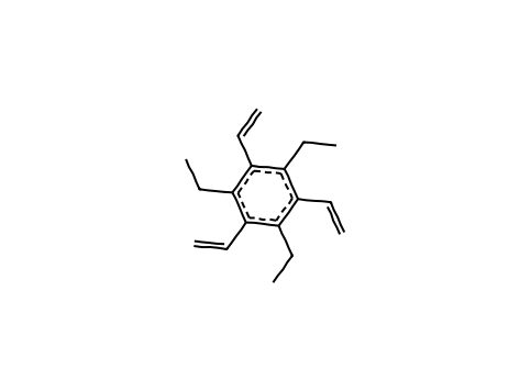 C=Cc1c(CC)c(C=C)c(CC)c(C=C)c1CC